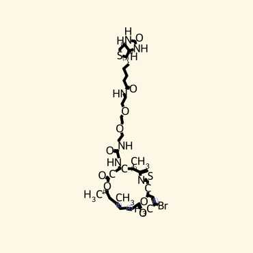 C/C(Br)=C\C1Cc2nc(cs2)[C@@H](C)CC(NCC(=O)NCCOCCOCCNC(=O)CCCC[C@@H]2SC[C@@H]3NC(=O)N[C@@H]32)CC(=O)O[C@@H](C)C/C(C)=C/C=C\C(=O)O1